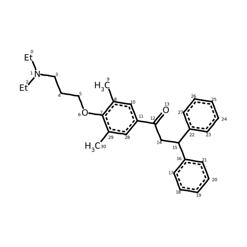 CCN(CC)CCCOc1c(C)cc(C(=O)CC(c2ccccc2)c2ccccc2)cc1C